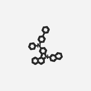 c1ccc(-c2ccc(N(c3ccccc3)c3ccc4c(c3)c3c5ccccc5ccc3n4-c3ccc4ccccc4c3)cc2)cc1